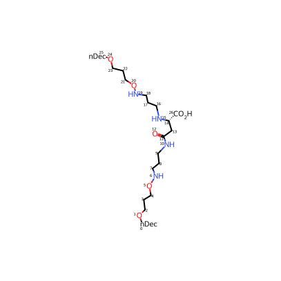 CCCCCCCCCCOCCCONCCCNC(=O)C[C@H](NCCCNOCCCOCCCCCCCCCC)C(=O)O